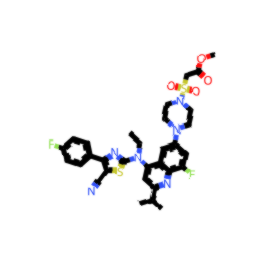 CCN(c1nc(-c2ccc(F)cc2)c(C#N)s1)c1cc(C(C)C)nc2c(F)cc(N3CCN(S(=O)(=O)CC(=O)OC)CC3)cc12